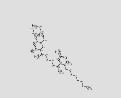 CCCCCCCCC(C)C(OC(C)=O)C(C)CCCCC(C)C(CC1COC2(CCNCC2)OC1)C(=O)O